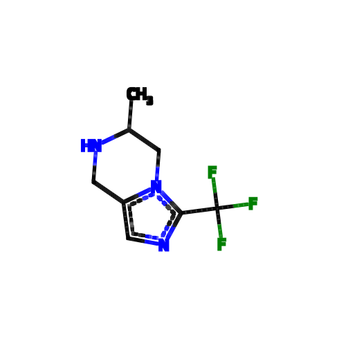 CC1Cn2c(cnc2C(F)(F)F)CN1